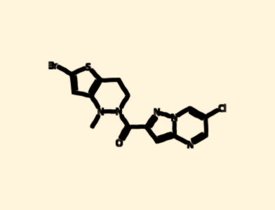 CN1c2cc(Br)sc2CCN1C(=O)c1cc2ncc(Cl)cn2n1